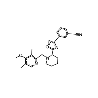 COc1c(C)cnc(CN2CCCCC2c2nc(-c3cccc(C#N)c3)no2)c1C